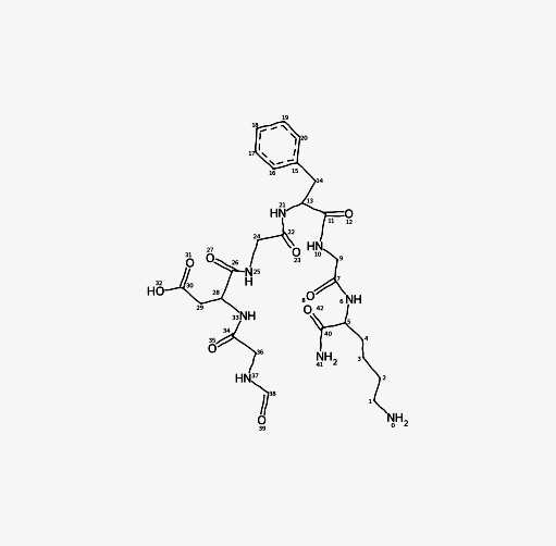 NCCCCC(NC(=O)CNC(=O)C(Cc1ccccc1)NC(=O)CNC(=O)C(CC(=O)O)NC(=O)CNC=O)C(N)=O